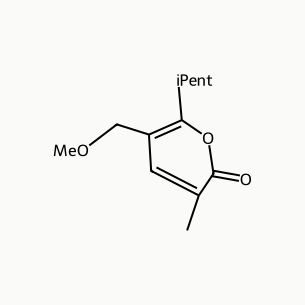 CCCC(C)c1oc(=O)c(C)cc1COC